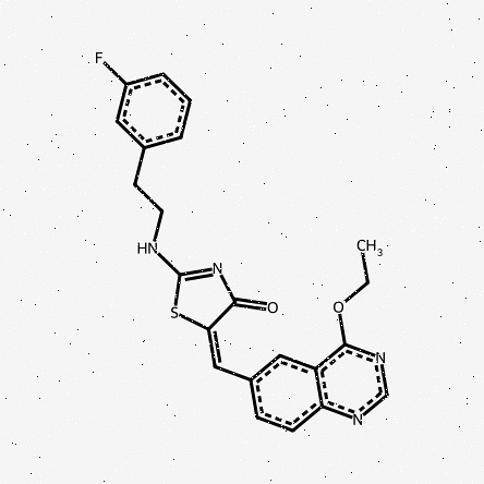 CCOc1ncnc2ccc(C=C3SC(NCCc4cccc(F)c4)=NC3=O)cc12